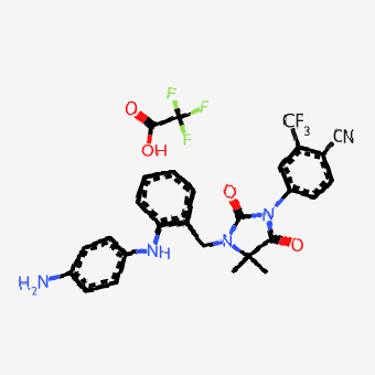 CC1(C)C(=O)N(c2ccc(C#N)c(C(F)(F)F)c2)C(=O)N1Cc1ccccc1Nc1ccc(N)cc1.O=C(O)C(F)(F)F